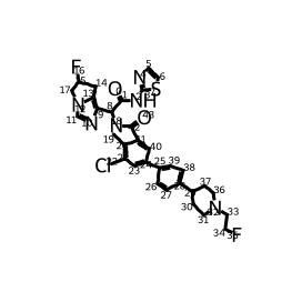 O=C(Nc1nccs1)C(c1ncn2c1CC(F)C2)N1Cc2c(Cl)cc(-c3ccc(C4CCN(CCF)CC4)cc3)cc2C1=O